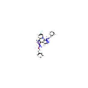 O=C(CCc1ccccc1)Nc1onc(-c2ccc(F)cc2)c1-c1ccnc(NCc2ccccc2)c1